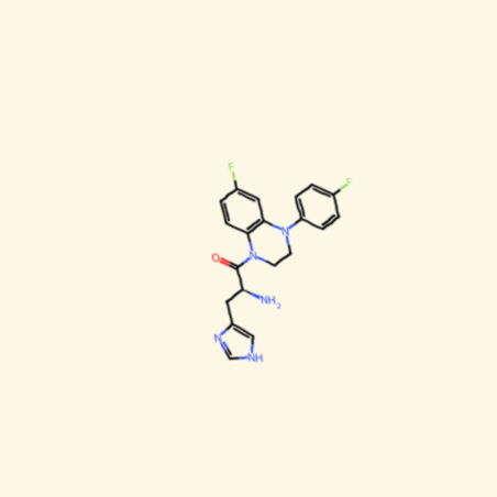 N[C@@H](Cc1c[nH]cn1)C(=O)N1CCN(c2ccc(F)cc2)c2cc(F)ccc21